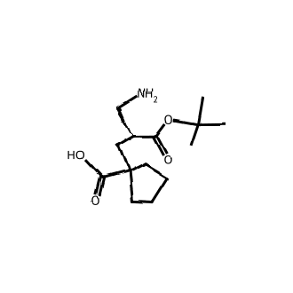 CC(C)(C)OC(=O)[C@H](CN)CC1(C(=O)O)CCCC1